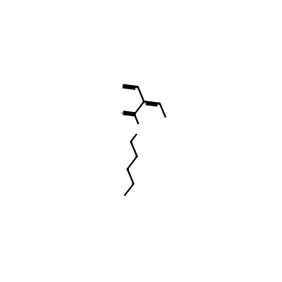 C=CC(=CC)C(=O)OCCCCC